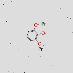 CC(C)Oc1cccc(OC(C)C)c1[O]